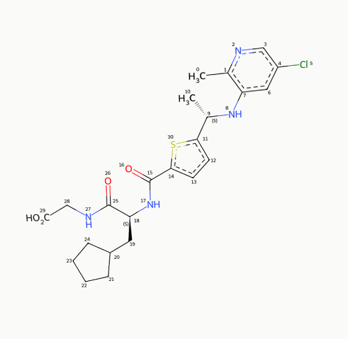 Cc1ncc(Cl)cc1N[C@@H](C)c1ccc(C(=O)N[C@@H](CC2CCCC2)C(=O)NCC(=O)O)s1